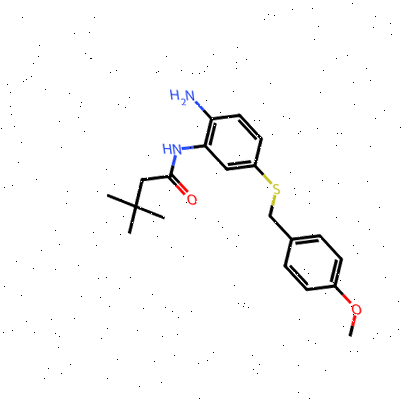 COc1ccc(CSc2ccc(N)c(NC(=O)CC(C)(C)C)c2)cc1